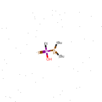 CCP(O)(=S)[SH](C(C)(C)C)C(C)(C)C